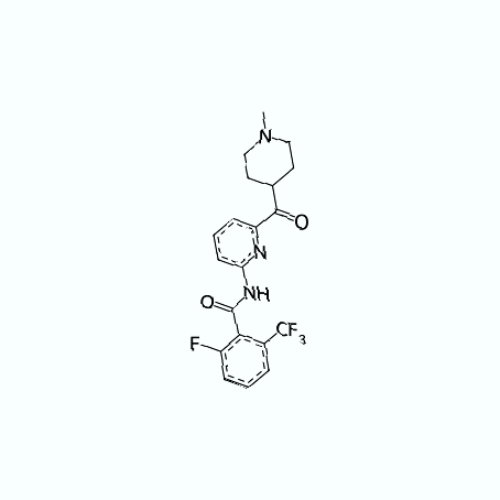 CN1CCC(C(=O)c2cccc(NC(=O)c3c(F)cccc3C(F)(F)F)n2)CC1